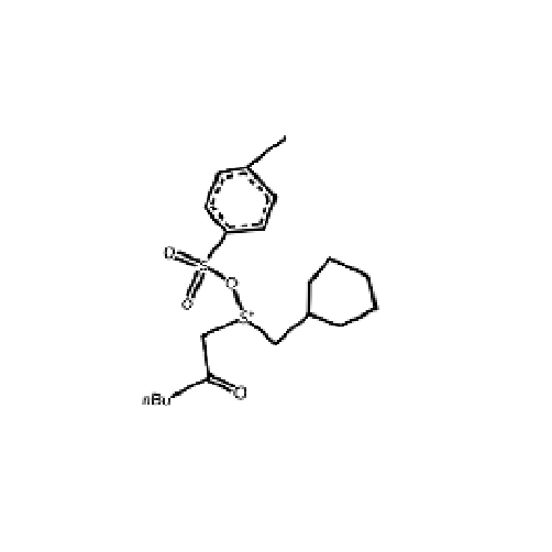 CCCCC(=O)C[S+](CC1CCCCC1)OS(=O)(=O)c1ccc(C)cc1